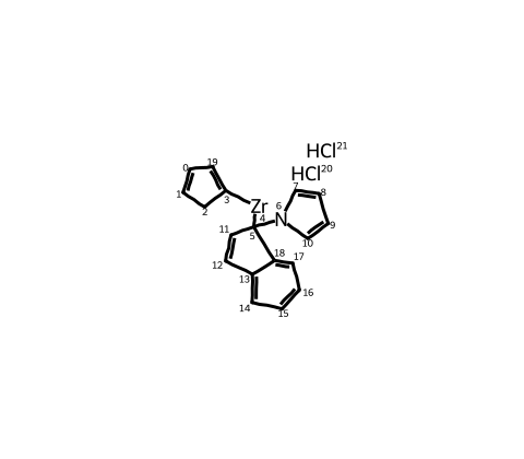 C1=CC[C]([Zr][C]2(n3cccc3)C=Cc3ccccc32)=C1.Cl.Cl